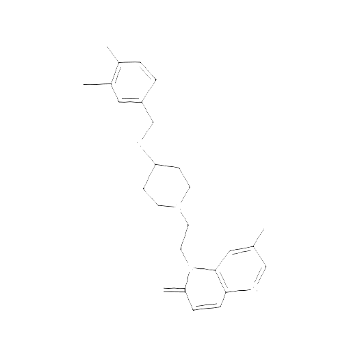 Cc1cnc2ccc(=O)n(CCN3CCC(NCc4ccc(F)c(C)c4)CC3)c2c1